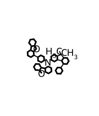 CC1(C)c2ccc(N(c3ccc(-c4cccc5c4oc4ccccc45)cc3)c3cccc4oc5ccccc5c34)cc2-c2c(-c3ccccc3)cccc21